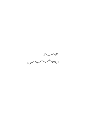 C/C=C/CCC(C(=O)O)C(C)C(=O)O